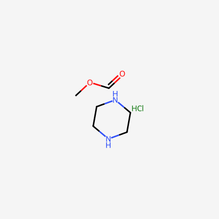 C1CNCCN1.COC=O.Cl